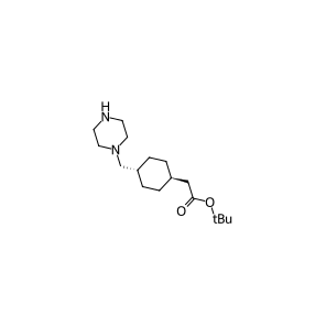 CC(C)(C)OC(=O)C[C@H]1CC[C@H](CN2CCNCC2)CC1